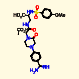 CC(=O)O.COc1ccc(S(=O)(=O)N[C@@H](CNC(=O)CN2CCN(c3ccc(C(=N)N)cc3)CC2=O)C(=O)O)cc1